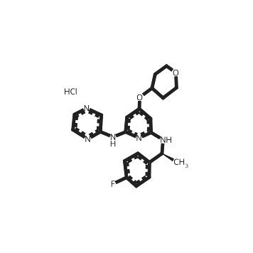 C[C@H](Nc1cc(OC2CCOCC2)cc(Nc2cnccn2)n1)c1ccc(F)cc1.Cl